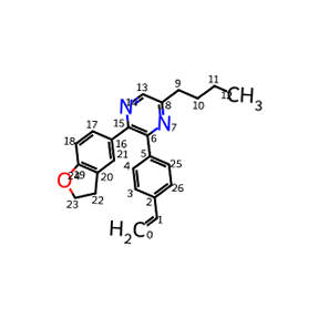 C=Cc1ccc(-c2nc(CCCC)cnc2-c2ccc3c(c2)CCO3)cc1